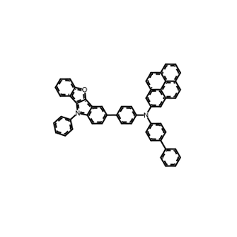 c1ccc(-c2ccc(N(c3ccc(-c4ccc5c(c4)c4oc6ccccc6c4n5-c4ccccc4)cc3)c3cc4ccc5cccc6ccc(c3)c4c56)cc2)cc1